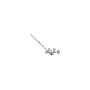 CCCCCCCCC=CCCCCCCCC(=O)Nc1nnc(NCc2cccs2)s1